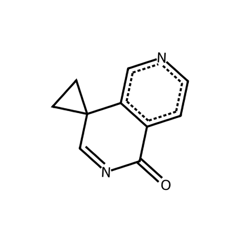 O=C1N=CC2(CC2)c2cnccc21